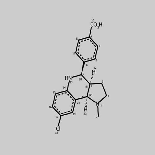 CN1CC[C@@H]2[C@H](c3ccc(C(=O)O)cc3)Nc3ccc(Cl)cc3[C@@H]21